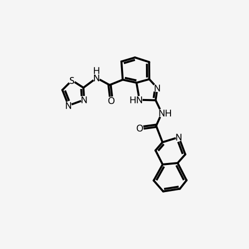 O=C(Nc1nc2cccc(C(=O)Nc3nncs3)c2[nH]1)c1cc2ccccc2cn1